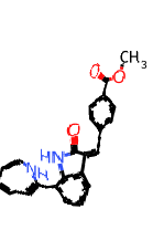 COC(=O)c1ccc(C=C2C(=O)Nc3c(C4=CC=CC=CN4)cccc32)cc1